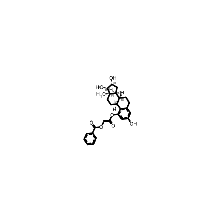 C[C@]12CC[C@@H]3c4c(cc(O)cc4OC(=O)COC(=O)c4ccccc4)CC[C@H]3[C@@H]1C[C@@H](O)[C@@H]2O